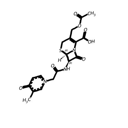 CC(=O)OCC1=C(C(=O)O)N2C(=O)[C@@H](NC(=O)Cn3ccc(=O)c(C)c3)[C@H]2SC1